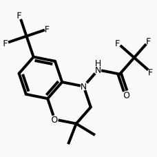 CC1(C)CN(NC(=O)C(F)(F)F)c2cc(C(F)(F)F)ccc2O1